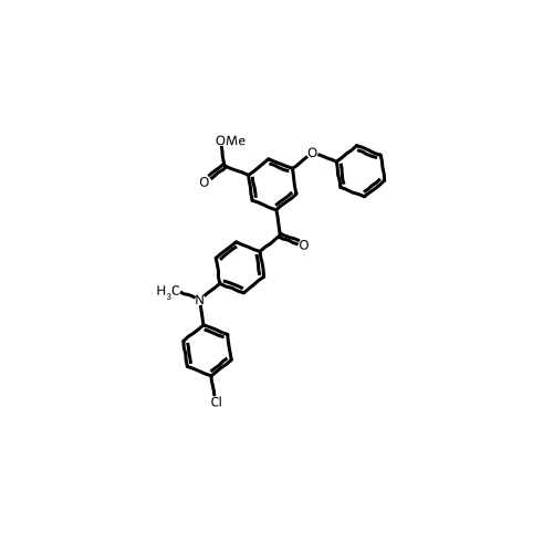 COC(=O)c1cc(Oc2ccccc2)cc(C(=O)c2ccc(N(C)c3ccc(Cl)cc3)cc2)c1